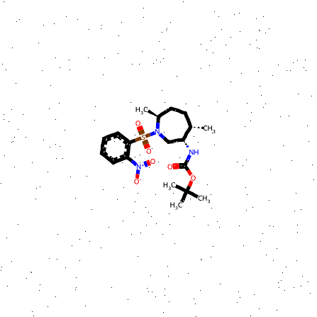 C[C@H]1CC[C@H](C)N(S(=O)(=O)c2ccccc2[N+](=O)[O-])C[C@H]1NC(=O)OC(C)(C)C